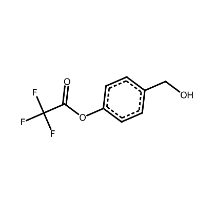 O=C(Oc1ccc(CO)cc1)C(F)(F)F